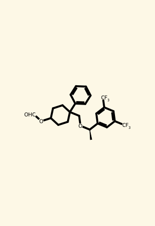 C[C@@H](OCC1(c2ccccc2)CCC(OC=O)CC1)c1cc(C(F)(F)F)cc(C(F)(F)F)c1